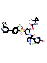 Cc1cc(-c2ccc(S(=O)(=O)[C@@H]3C[C@H](OC(=O)NC4(C#N)CC4)N(C(=O)C4(c5ncc(Br)cc5F)CCN4)C3)c(Cl)c2)ccn1